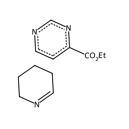 C1=NCCCC1.CCOC(=O)c1ccncn1